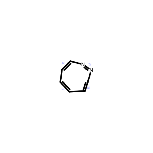 C1=C\C=C/N=N\C=C/1